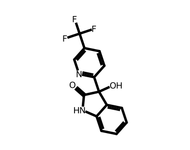 O=C1Nc2ccccc2C1(O)c1ccc(C(F)(F)F)cn1